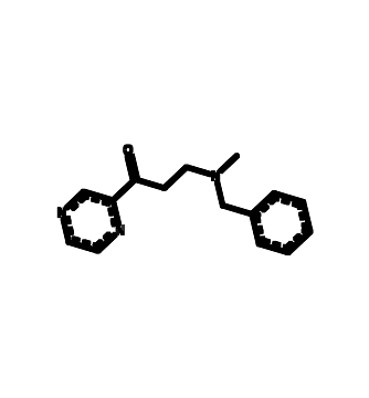 CN(CCC(=O)c1cnccn1)Cc1ccccc1